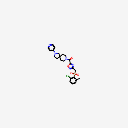 Cc1cccc(Cl)c1S(=O)(=O)Cc1noc(C(=O)N2CCC3(CC2)CCN(c2ccncc2)C3)n1